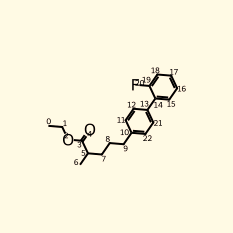 CCOC(=O)C(C)CCCc1ccc(-c2ccccc2F)cc1